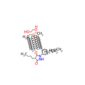 C=C.C=C.C=C.C=C.C=C.C=C.C=C.C=C.C=C.CCCCC1C(=O)NN(c2ccccc2)C1=O.CCOCC.OCCO